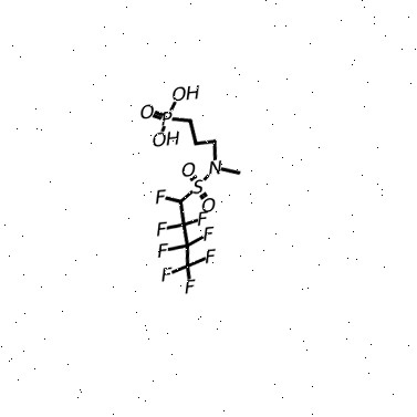 CN(CCCP(=O)(O)O)S(=O)(=O)C(F)C(F)(F)C(F)(F)C(F)(F)F